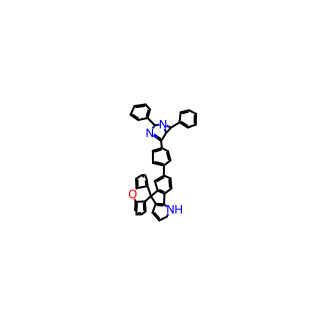 C1=CC2=C(NC1)c1ccc(-c3ccc(C4=NC(c5ccccc5)N5C4C5c4ccccc4)cc3)cc1C21c2ccccc2Oc2ccccc21